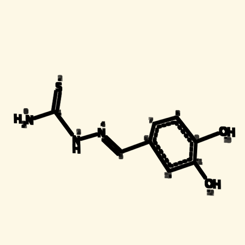 NC(=S)N/N=C/c1ccc(O)c(O)c1